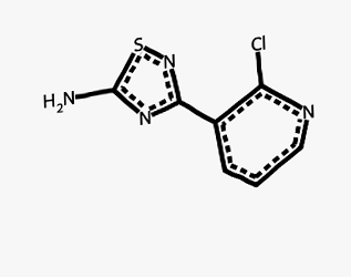 Nc1nc(-c2cccnc2Cl)ns1